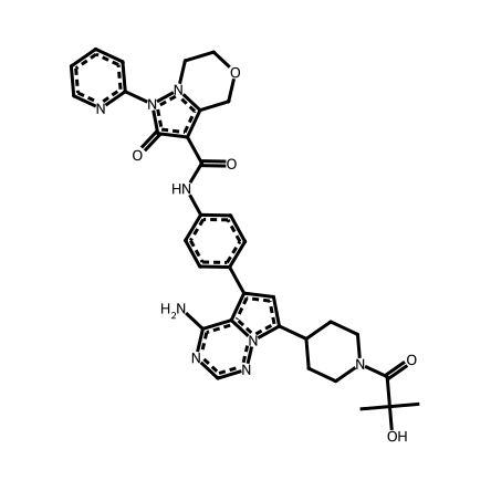 CC(C)(O)C(=O)N1CCC(c2cc(-c3ccc(NC(=O)c4c5n(n(-c6ccccn6)c4=O)CCOC5)cc3)c3c(N)ncnn23)CC1